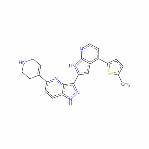 Cc1ccc(-c2ccnc3[nH]c(-c4n[nH]c5ccc(C6=CCNCC6)nc45)cc23)s1